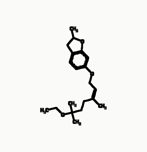 CCOC(C)(C)CCC(C)=CCOc1ccc2c(c1)OC(C)C2